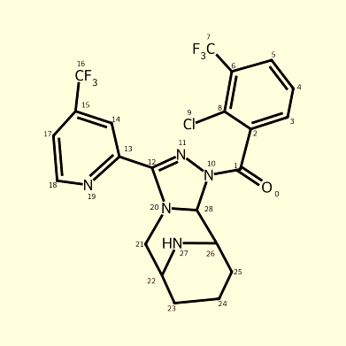 O=C(c1cccc(C(F)(F)F)c1Cl)N1N=C(c2cc(C(F)(F)F)ccn2)N2CC3CCCC(N3)C21